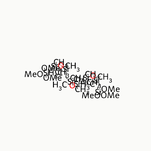 CO[Si](CC[Si](C)(C)O[Si](C)(C)CC[Si](C)(C)O[Si](C)(C)CC[Si](C)(C)O[Si](C)(C)CC[Si](OC)(OC)OC)(OC)OC